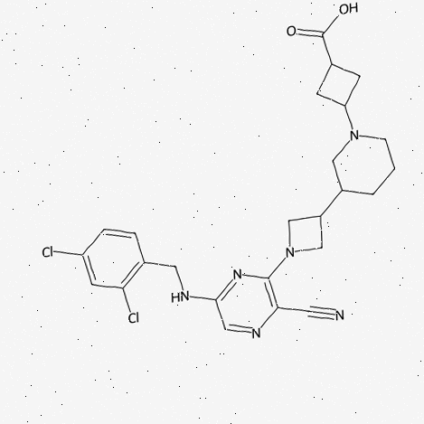 N#Cc1ncc(NCc2ccc(Cl)cc2Cl)nc1N1CC(C2CCCN(C3CC(C(=O)O)C3)C2)C1